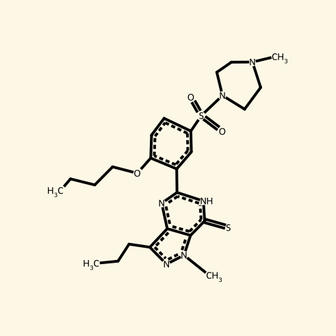 CCCCOc1ccc(S(=O)(=O)N2CCN(C)CC2)cc1-c1nc2c(CCC)nn(C)c2c(=S)[nH]1